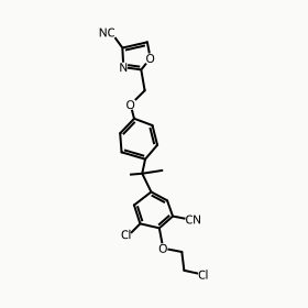 CC(C)(c1ccc(OCc2nc(C#N)co2)cc1)c1cc(Cl)c(OCCCl)c(C#N)c1